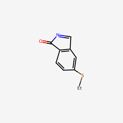 CCSc1ccc2c(c1)C=NC2=O